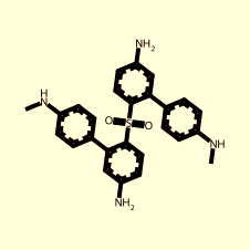 CNc1ccc(-c2cc(N)ccc2S(=O)(=O)c2ccc(N)cc2-c2ccc(NC)cc2)cc1